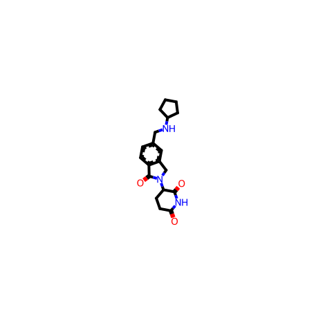 O=C1CCC(N2Cc3cc(CNC4CCCC4)ccc3C2=O)C(=O)N1